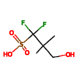 CC(C)(CO)C(F)(F)S(=O)(=O)O